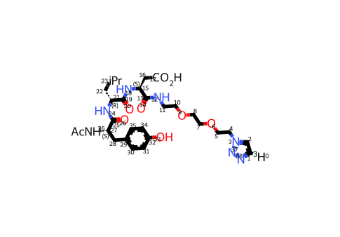 [3H]c1cn(CCOCCOCCNC(=O)[C@H](CC(=O)O)NC(=O)[C@@H](CC(C)C)NC(=O)[C@H](Cc2ccc(O)cc2)NC(C)=O)nn1